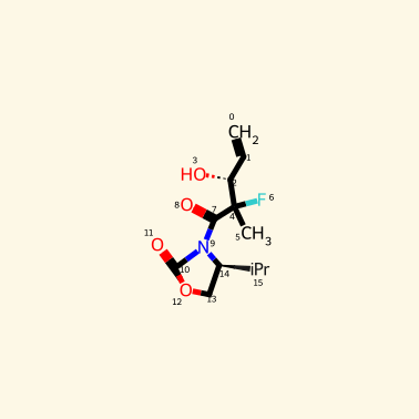 C=C[C@@H](O)C(C)(F)C(=O)N1C(=O)OC[C@@H]1C(C)C